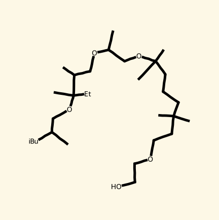 CCC(C)C(C)COC(C)(CC)C(C)COC(C)COC(C)(C)CCCC(C)(C)CCOCCO